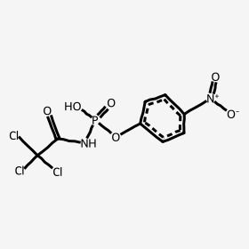 O=C(NP(=O)(O)Oc1ccc([N+](=O)[O-])cc1)C(Cl)(Cl)Cl